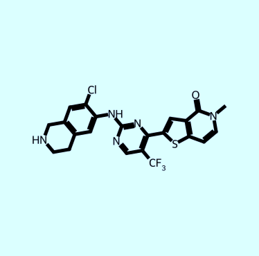 Cn1ccc2sc(-c3nc(Nc4cc5c(cc4Cl)CNCC5)ncc3C(F)(F)F)cc2c1=O